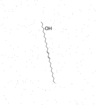 CCCCCCCCCCC=CC=CCCCCCCCCC(O)CCC